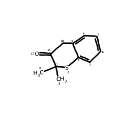 CC1(C)Sc2ccccc2CC1=O